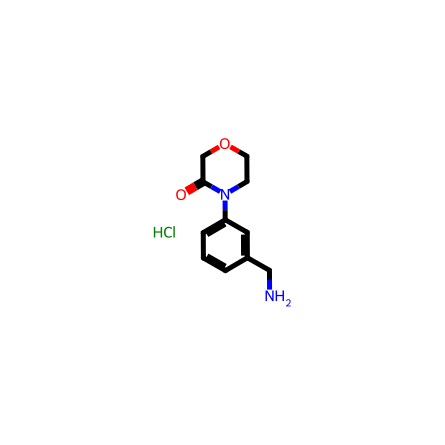 Cl.NCc1cccc(N2CCOCC2=O)c1